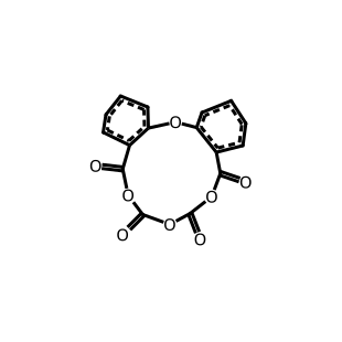 O=C1OC(=O)OC(=O)c2ccccc2Oc2ccccc2C(=O)O1